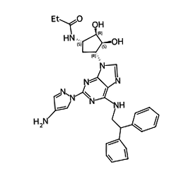 CCC(=O)N[C@H]1C[C@@H](n2cnc3c(NCC(c4ccccc4)c4ccccc4)nc(-n4cc(N)cn4)nc32)[C@H](O)[C@@H]1O